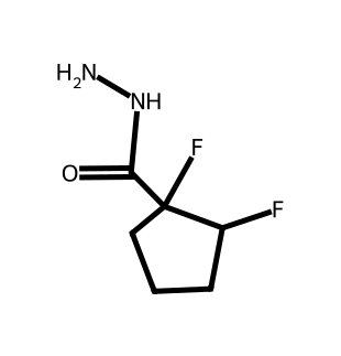 NNC(=O)C1(F)CCCC1F